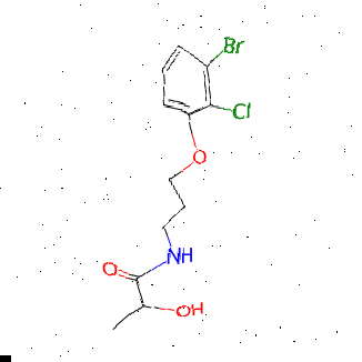 CC(O)C(=O)NCCCOc1cccc(Br)c1Cl